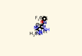 CCNc1cc(-c2c(-c3nncn3C)cnn2C)cc(-c2nc3cccc(C(F)(F)F)c3o2)n1